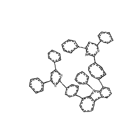 c1ccc(-c2cc(-c3ccccc3)nc(-c3ccc(-c4cccc5c6cccc(-c7ccc(-c8nc(-c9ccccc9)cc(-c9ccccc9)n8)cc7)c6n(-c6ccccc6)c45)cc3)n2)cc1